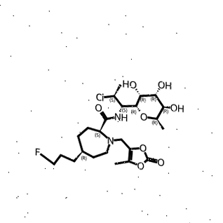 Cc1oc(=O)oc1CN1CC[C@@H](CCCF)CC[C@H]1C(=O)N[C@@H]([C@H]1O[C@H](C)[C@H](O)[C@@H](O)[C@H]1O)[C@H](C)Cl